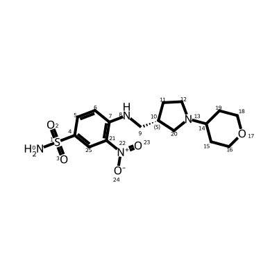 NS(=O)(=O)c1ccc(NC[C@@H]2CCN(C3CCOCC3)C2)c([N+](=O)[O-])c1